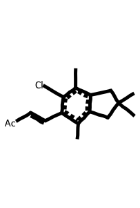 CC(=O)C=Cc1c(C)c2c(c(C)c1Cl)CC(C)(C)C2